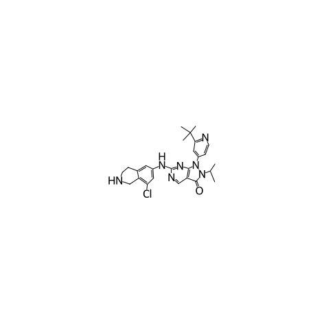 CC(C)n1c(=O)c2cnc(Nc3cc(Cl)c4c(c3)CCNC4)nc2n1-c1ccnc(C(C)(C)C)c1